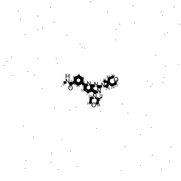 CNC(=O)c1cccc(-c2ccc3c(N4CCOC[C@@H]4C)nc(N4CC5(CCOCC5)C4)nc3n2)c1